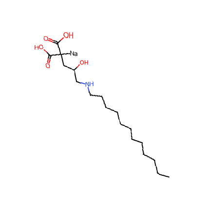 CCCCCCCCCCCCNCC(O)C[C]([Na])(C(=O)O)C(=O)O